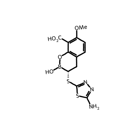 COc1ccc2c(c1C(=O)O)OB(O)[C@@H](Sc1nnc(N)s1)C2